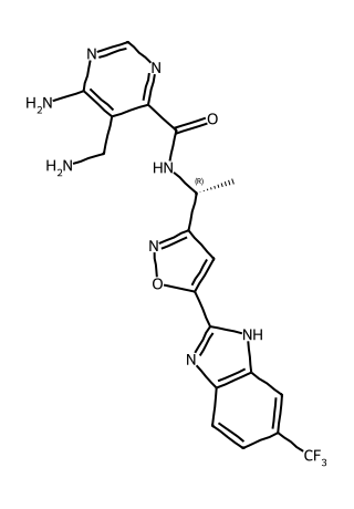 C[C@@H](NC(=O)c1ncnc(N)c1CN)c1cc(-c2nc3ccc(C(F)(F)F)cc3[nH]2)on1